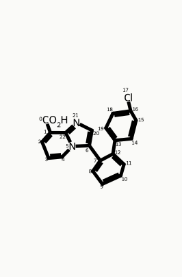 O=C(O)c1cccn2c(-c3ccccc3-c3ccc(Cl)cc3)cnc12